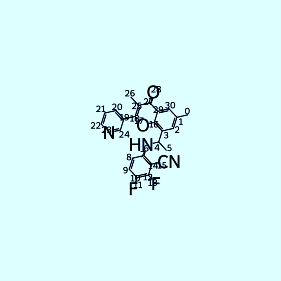 Cc1cc(C(C)Nc2ccc(F)c(F)c2C#N)c2oc(-c3cccnc3)c(C)c(=O)c2c1